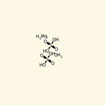 O.O=S(=O)(O)O.O=S(=O)(O)O.[MgH2]